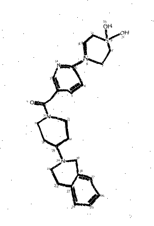 O=C(c1ccc(N2CCS(O)(O)CC2)nc1)N1CCC(N2CCc3ccccc3C2)CC1